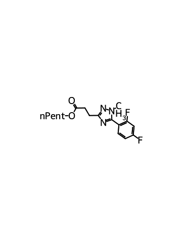 CCCCCOC(=O)CCc1nc(-c2ccc(F)cc2F)n(C)n1